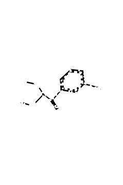 CCOC(OCC)C(=O)c1cccc([N+](=O)[O-])c1